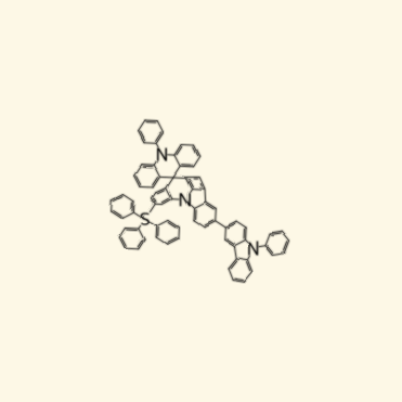 c1ccc(N2c3ccccc3C3(c4ccccc42)c2ccc(S(c4ccccc4)(c4ccccc4)c4ccccc4)cc2-n2c4ccc(-c5ccc6c(c5)c5ccccc5n6-c5ccccc5)cc4c4cccc3c42)cc1